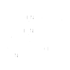 CC(c1cccnc1)C1(N)C=CC=CC1N